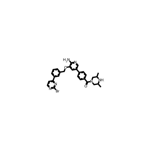 CC1CN(C(=O)c2ccc(-c3cnc(N)c(OCc4cccc(-c5ccnc(Br)n5)c4)c3)cc2)CC(C)N1